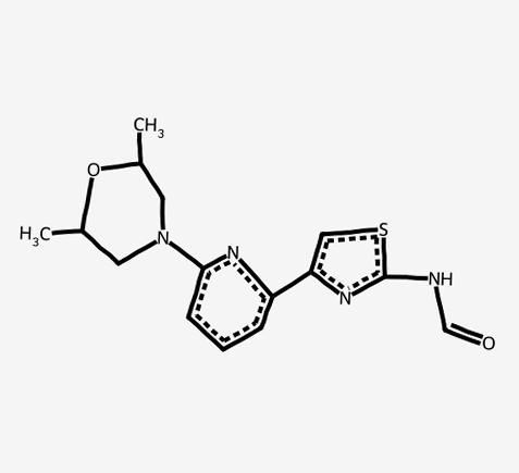 CC1CN(c2cccc(-c3csc(NC=O)n3)n2)CC(C)O1